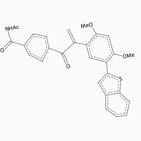 C=C(C(=O)c1ccc(C(=O)NC(C)=O)cc1)c1cc(-c2cc3ccccc3s2)c(OC)cc1OC